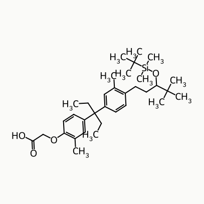 CCC(CC)(c1ccc(CCC(O[Si](C)(C)C(C)(C)C)C(C)(C)C)c(C)c1)c1ccc(OCC(=O)O)c(C)c1